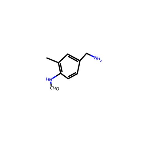 Cc1cc(CN)ccc1NC=O